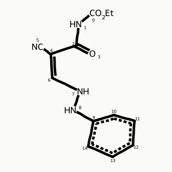 CCOC(=O)NC(=O)C(C#N)=CNNc1ccccc1